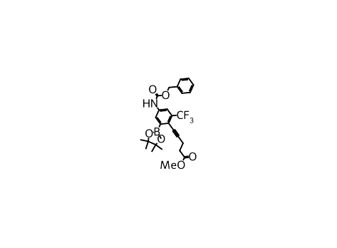 COC(=O)CCC#Cc1c(B2OC(C)(C)C(C)(C)O2)cc(NC(=O)OCc2ccccc2)cc1C(F)(F)F